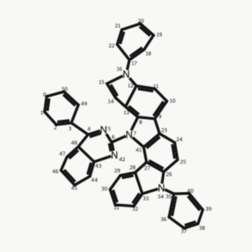 c1ccc(-c2nc(-n3c4c(ccc5c4ccn5-c4ccccc4)c4ccc5c(c6ccccc6n5-c5ccccc5)c43)nc3ccccc23)cc1